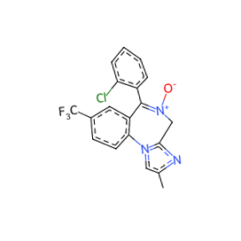 Cc1cn2c(n1)C[N+]([O-])=C(c1ccccc1Cl)c1cc(C(F)(F)F)ccc1-2